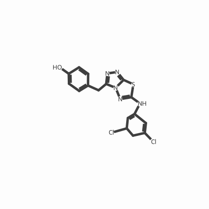 Oc1ccc(Cc2nnc3sc(NC4=CC(Cl)CC(Cl)=C4)nn23)cc1